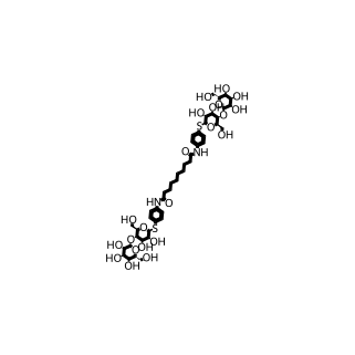 O=C(CCCCCCCCC(=O)Nc1ccc(S[C@@H]2O[C@H](CO)[C@@H](O[C@@H]3O[C@H](CO)[C@@H](O)[C@H](O)[C@H]3O)[C@H](O)[C@H]2O)cc1)Nc1ccc(S[C@@H]2O[C@H](CO)[C@@H](O[C@@H]3O[C@H](CO)[C@@H](O)[C@H](O)[C@H]3O)[C@H](O)[C@H]2O)cc1